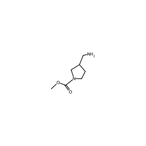 COC(=O)N1CCC(CN)C1